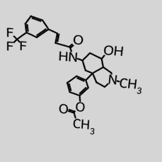 CC(=O)Oc1cccc(C23CCN(C)CC2C(O)CC(NC(=O)/C=C/c2cccc(C(F)(F)F)c2)C3)c1